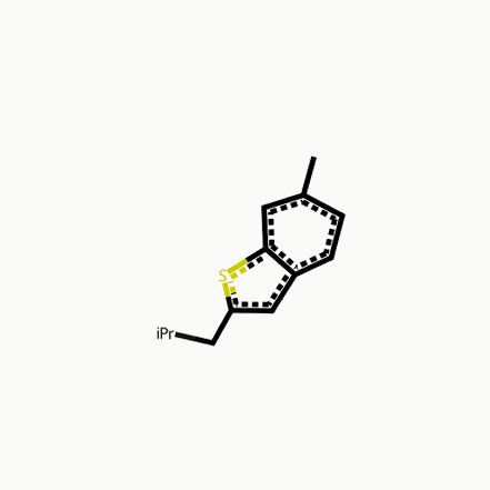 Cc1ccc2cc(CC(C)C)sc2c1